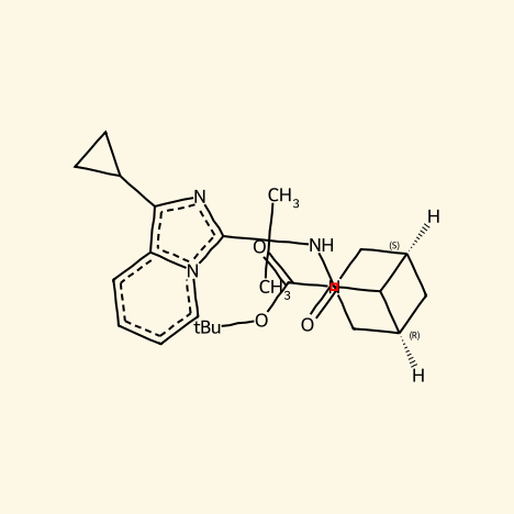 CC(C)(C)OC(=O)N1C[C@H]2C[C@@H](C1)C2C(=O)NC(C)(C)c1nc(C2CC2)c2ccccn12